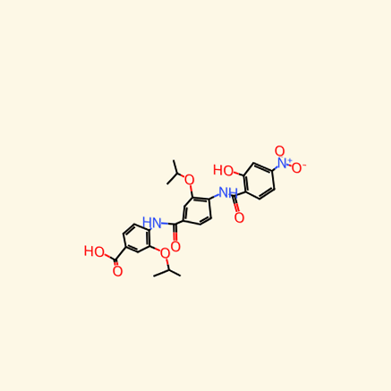 CC(C)Oc1cc(C(=O)O)ccc1NC(=O)c1ccc(NC(=O)c2ccc([N+](=O)[O-])cc2O)c(OC(C)C)c1